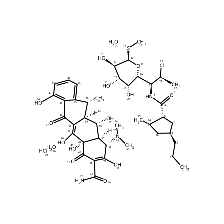 CCC[C@@H]1C[C@@H](C(=O)N[C@@H]([C@H]2O[C@H](SC)[C@H](O)[C@@H](O)[C@H]2O)[C@H](C)Cl)N(C)C1.C[C@H]1c2cccc(O)c2C(=O)C2=C(O)[C@]3(O)C(=O)C(C(N)=O)=C(O)[C@@H](N(C)C)[C@@H]3[C@@H](O)[C@@H]21.Cl.O.O